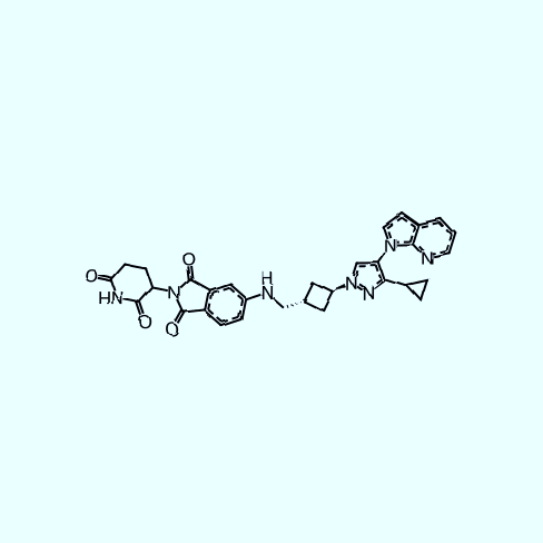 O=C1CCC(N2C(=O)c3ccc(NC[C@H]4C[C@H](n5cc(-n6ccc7cccnc76)c(C6CC6)n5)C4)cc3C2=O)C(=O)N1